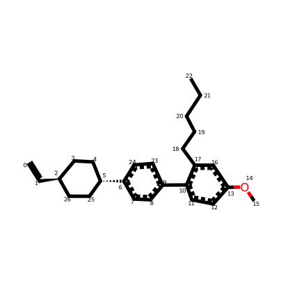 C=C[C@H]1CC[C@H](c2ccc(-c3ccc(OC)cc3CCCCC)cc2)CC1